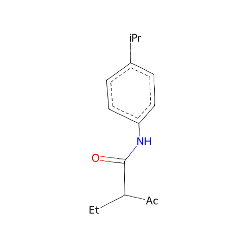 CCC(C(C)=O)C(=O)Nc1ccc(C(C)C)cc1